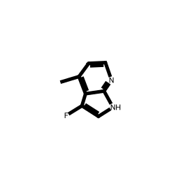 Cc1[c]cnc2[nH]cc(F)c12